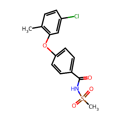 Cc1ccc(Cl)cc1Oc1ccc(C(=O)NS(C)(=O)=O)cc1